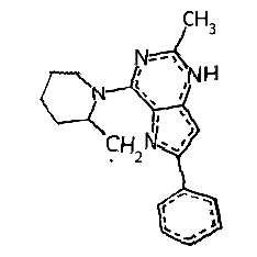 [CH2]C1CCCCN1c1nc(C)[nH]c2cc(-c3ccccc3)nc1-2